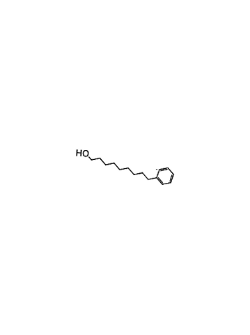 OCCCCCCCCCc1[c]cccc1